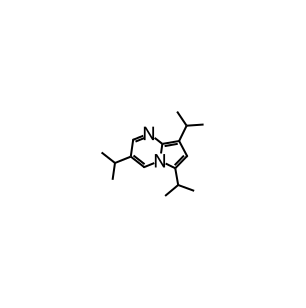 CC(C)c1cnc2c(C(C)C)cc(C(C)C)n2c1